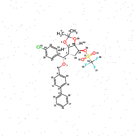 CC1(C)O[C@@H]2[C@@H]([C@H](OCc3ccc(-c4ccccc4)cc3)c3ccc(Cl)cc3)C[C@H](OS(=O)(=O)C(F)(F)F)[C@@H]2O1